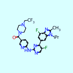 Cc1nc2c(F)cc(-c3nc(Nc4ccc(C(=O)N5CCN(CC(F)(F)F)CC5)cn4)ncc3F)cc2n1C(C)C